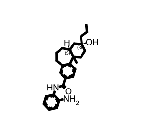 CCC[C@@]1(O)CCC2(C)c3ccc(C(=O)Nc4ccccc4N)cc3CCC[C@H]2C1